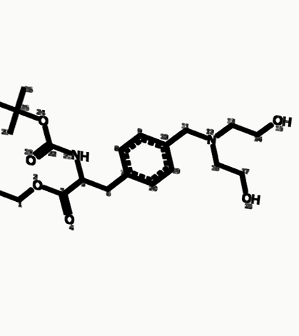 CCOC(=O)C(Cc1ccc(CN(CCO)CCO)cc1)NC(=O)OC(C)(C)C